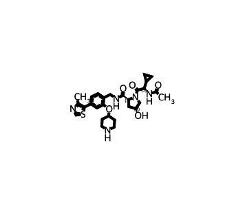 CC(=O)N[C@H](C(=O)N1C[C@H](O)C[C@H]1C(=O)NCc1ccc(-c2scnc2C)cc1OC1CCNCC1)C1CC1